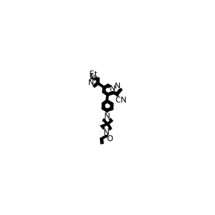 C=CC(=O)N1CC2(C1)CN(c1ccc(-c3cc(-c4cnn(CC)c4)cn4ncc(C#N)c34)cc1)C2